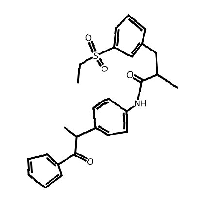 CCS(=O)(=O)c1cccc(CC(C)C(=O)Nc2ccc(C(C)C(=O)c3ccccc3)cc2)c1